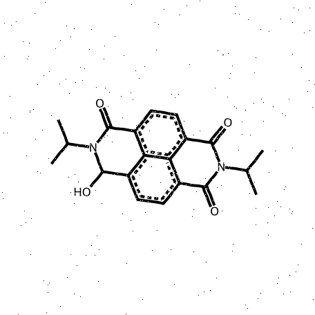 CC(C)N1C(=O)c2ccc3c4c(ccc(c24)C1=O)C(O)N(C(C)C)C3=O